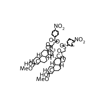 COCC1(O)CC[C@@]2(C)C(CC[C@H]3[C@@H]4CC[C@H](C(=O)CS(=O)(=O)c5ccc([N+](=O)[O-])cc5)[C@@]4(C)CC[C@@H]32)C1.COCC1(O)CC[C@@]2(C)C(CC[C@H]3[C@@H]4CC[C@H](C(=O)C[S+]([O-])c5ccc([N+](=O)[O-])cc5)[C@@]4(C)CC[C@@H]32)C1